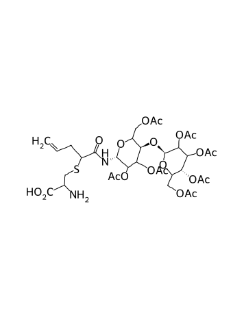 C=CCC(SCC(N)C(=O)O)C(=O)N[C@@H]1OC(COC(C)=O)[C@@H](O[C@@H]2OC(COC(C)=O)[C@@H](OC(C)=O)C(OC(C)=O)C2OC(C)=O)C(OC(C)=O)C1OC(C)=O